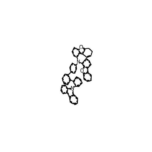 C1=Cc2c(oc3cccc(N(c4ccc(-c5ccccc5-c5ccccc5-n5c6ccccc6c6ccccc65)cc4)c4cccc5c4oc4ccccc45)c23)CC1